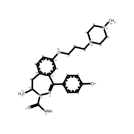 CNC(=O)N1N=C(c2ccc(Cl)cc2)c2cc(OCCCN3CCN(C)CC3)ccc2CC1C